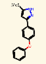 CSc1cc(-c2ccc(Oc3ccccc3)cc2)n[nH]1